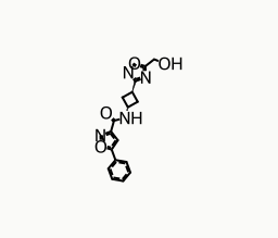 O=C(N[C@H]1C[C@H](c2noc(CO)n2)C1)c1cc(-c2ccccc2)on1